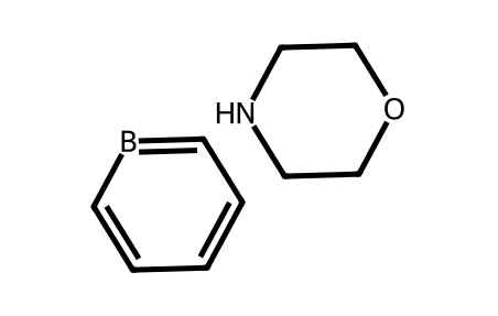 C1COCCN1.b1ccccc1